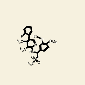 CCOc1cc([C@@H](CS(C)(=O)=O)Nc2ncc(-c3ccccc3F)c(C)c2N)ccc1OC